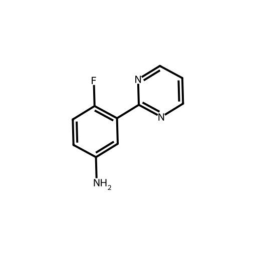 Nc1ccc(F)c(-c2ncccn2)c1